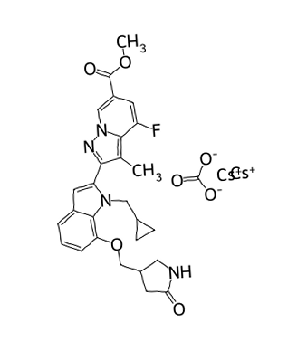 COC(=O)c1cc(F)c2c(C)c(-c3cc4cccc(OCC5CNC(=O)C5)c4n3CC3CC3)nn2c1.O=C([O-])[O-].[Cs+].[Cs+]